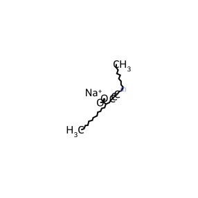 CCCCCCCC/C=C\CCCCCCC(CCCCCCCCCCCC)C(=O)[O-].[Na+]